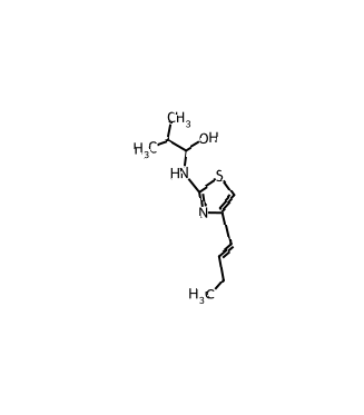 CC/C=C/c1csc(NC(O)C(C)C)n1